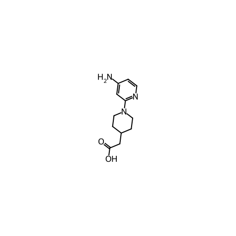 Nc1ccnc(N2CCC(CC(=O)O)CC2)c1